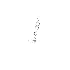 CC(C)(C)OC(=O)N1CCC2(CC1)CCN(c1ccc(B3OC(C)(C)C(C)(C)O3)cn1)CC2